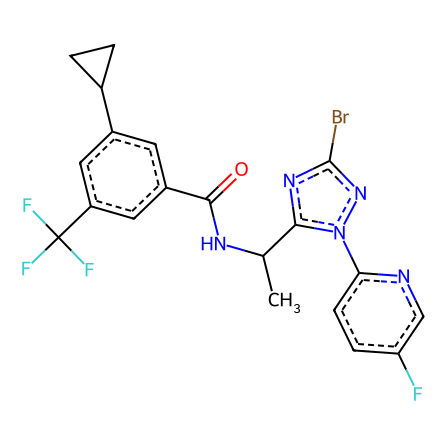 CC(NC(=O)c1cc(C2CC2)cc(C(F)(F)F)c1)c1nc(Br)nn1-c1ccc(F)cn1